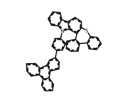 c1ccc2c(c1)Sc1ccc3c4ccccc4n(-c4ccc(-c5ccc6c7ccccc7c7ccccc7c6c5)cc4)c3c1-c1ccccc1-2